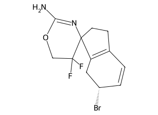 NC1=NC2(CCC3=C2C[C@@H](Br)C=C3)C(F)(F)CO1